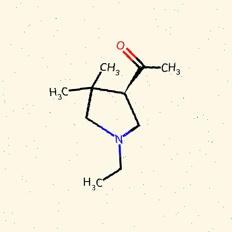 CCN1C[C@H](C(C)=O)C(C)(C)C1